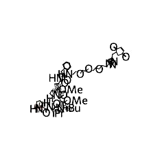 CC[C@H](C)[C@@H]([C@@H](CC(=O)N1CCC[C@H]1[C@H](OC)[C@@H](C)C(=O)N[C@@H](Cc1ccccc1)C(=O)NCCOCCOCCOCCn1cc(CC2CC(=O)C=CC2=O)nn1)OC)N(C)C(=O)[C@@H](NC(=O)C1[C@H]2CC[C@H](C2)N1C)C(C)C